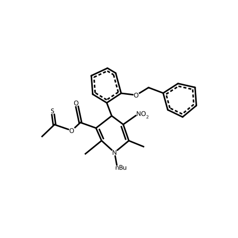 CCCCN1C(C)=C(C(=O)OC(C)=S)C(c2ccccc2OCc2ccccc2)C([N+](=O)[O-])=C1C